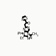 CC[C@@H]1c2nnc(C)n2-c2cnc(CC(=O)c3nccs3)nc2N1C(C)C